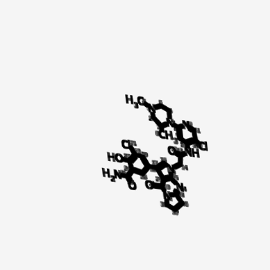 CC1CN(C)CCN1c1cc(NC(=O)Cn2cc(-c3cc(Cl)c(O)c(C(N)=O)c3)c3c(=O)n4c(nc32)CCC4)c(Cl)cn1